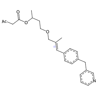 CC(=O)CC(=O)OC(C)CCOC/C(C)=C/c1ccc(Cc2cccnc2)cc1